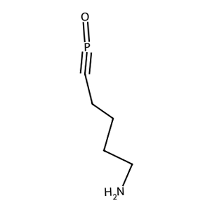 NCCCCC#P=O